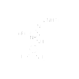 CCCc1cc(N2CC[C@H](NC(C)=O)C2)nc(Nc2ccc(C)c(N)c2)n1